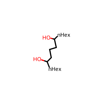 CCCCCCC(O)CCCC(O)CCCCCC